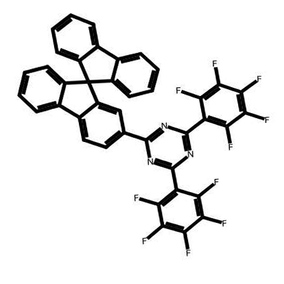 Fc1c(F)c(F)c(-c2nc(-c3ccc4c(c3)C3(c5ccccc5-c5ccccc53)c3ccccc3-4)nc(-c3c(F)c(F)c(F)c(F)c3F)n2)c(F)c1F